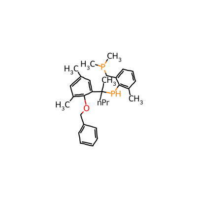 CCCC(C)(Pc1c(C)cccc1CP(C)C)c1cc(C)cc(C)c1OCc1ccccc1